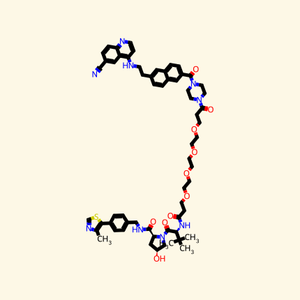 Cc1ncsc1-c1ccc(CNC(=O)[C@@H]2C[C@@H](O)CN2C(=O)[C@@H](NC(=O)CCOCCOCCOCCOCCC(=O)N2CCN(C(=O)c3ccc4cc(CCNc5ccnc6ccc(C#N)cc56)ccc4c3)CC2)C(C)(C)C)cc1